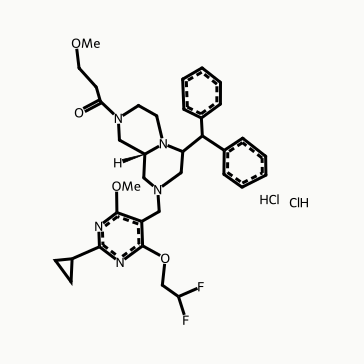 COCCC(=O)N1CCN2C(C(c3ccccc3)c3ccccc3)CN(Cc3c(OC)nc(C4CC4)nc3OCC(F)F)C[C@@H]2C1.Cl.Cl